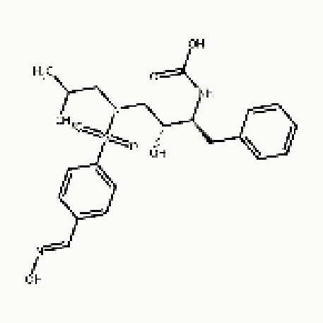 CC(C)CN(C[C@@H](O)[C@H](Cc1ccccc1)NC(=O)O)S(=O)(=O)c1ccc(/C=N/O)cc1